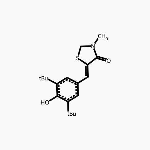 CN1CS/C(=C\c2cc(C(C)(C)C)c(O)c(C(C)(C)C)c2)C1=O